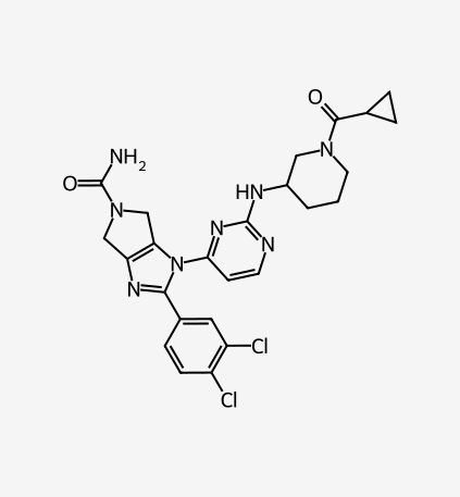 NC(=O)N1Cc2nc(-c3ccc(Cl)c(Cl)c3)n(-c3ccnc(NC4CCCN(C(=O)C5CC5)C4)n3)c2C1